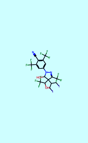 N#Cc1c(C(F)(F)F)cc(N2N=C(C(F)(F)F)C(C(CI)CI)(C(O)C(F)(F)F)C2O)cc1C(F)(F)F